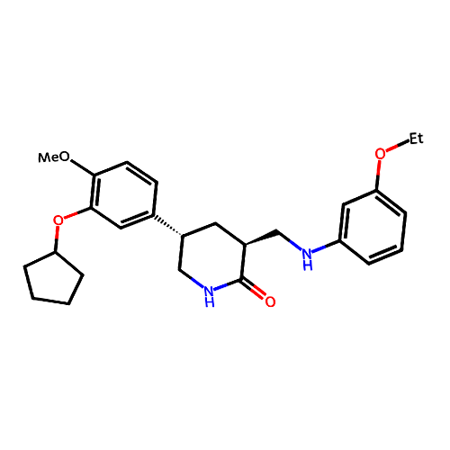 CCOc1cccc(NC[C@@H]2C[C@@H](c3ccc(OC)c(OC4CCCC4)c3)CNC2=O)c1